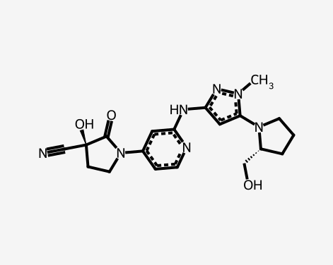 Cn1nc(Nc2cc(N3CC[C@](O)(C#N)C3=O)ccn2)cc1N1CCC[C@@H]1CO